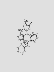 CCCCOC(=O)OC1=C(C)NC2=C(C(=O)OC2)C1c1ccccc1SCC1CCCCC1